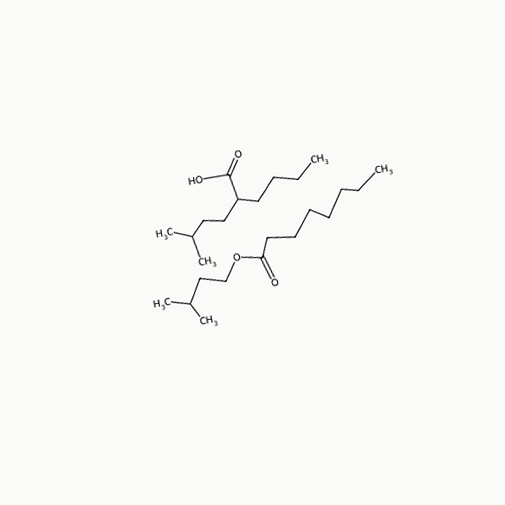 CCCCC(CCC(C)C)C(=O)O.CCCCCCCC(=O)OCCC(C)C